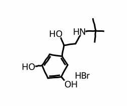 Br.CC(C)(C)NCC(O)c1cc(O)cc(O)c1